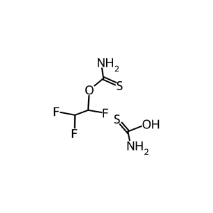 NC(=S)OC(F)C(F)F.NC(O)=S